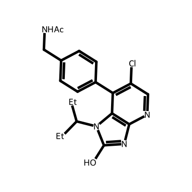 CCC(CC)n1c(O)nc2ncc(Cl)c(-c3ccc(CNC(C)=O)cc3)c21